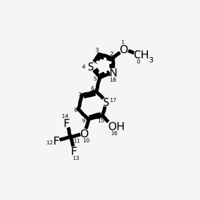 COc1csc(C2=CCC(OC(F)(F)F)=C(O)S2)n1